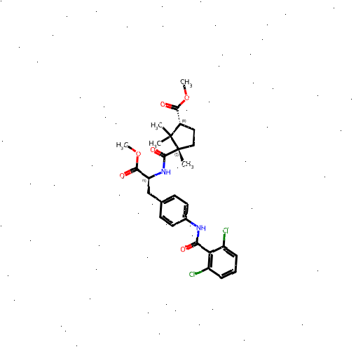 COC(=O)[C@H](Cc1ccc(NC(=O)c2c(Cl)cccc2Cl)cc1)NC(=O)[C@@]1(C)CC[C@@H](C(=O)OC)C1(C)C